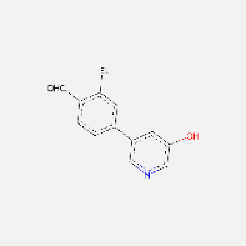 CCc1cc(-c2cncc(O)c2)ccc1C=O